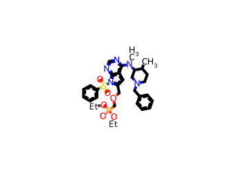 CCOP(=O)(COCc1cc2c(N(C)C3CN(Cc4ccccc4)CCC3C)ncnc2n1S(=O)(=O)c1ccccc1)OCC